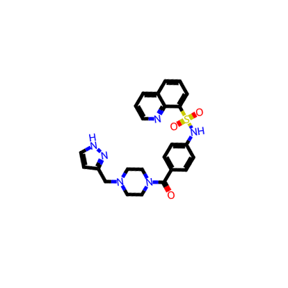 O=C(c1ccc(NS(=O)(=O)c2cccc3cccnc23)cc1)N1CCN(Cc2cc[nH]n2)CC1